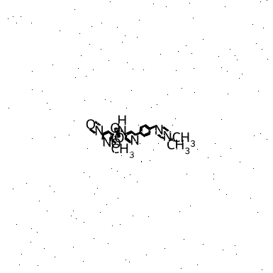 COc1ncc(N2CCOCC2)cc1S(=O)(=O)Nc1ccnc(-c2ccc(CN3CCN(C(C)C)CC3)cc2)c1